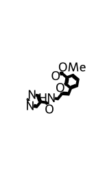 COC(=O)c1cccc2cc(CNC(=O)c3cncnc3)oc12